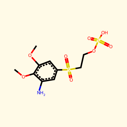 COc1cc(S(=O)(=O)CCOS(=O)(=O)O)cc(N)c1OC